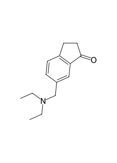 CCN(CC)Cc1ccc2c(c1)C(=O)CC2